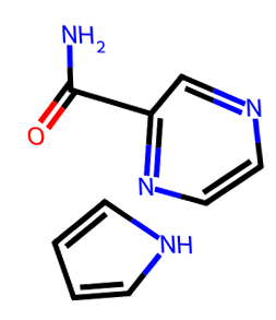 NC(=O)c1cnccn1.c1cc[nH]c1